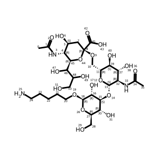 CC(=O)N[C@@H]1[C@@H](O)C[C@](OC[C@H]2O[C@@H](O[C@@H]3[C@@H](O)[C@H](OCCCCCN)O[C@H](CO)[C@H]3O)[C@H](NC(C)=O)[C@@H](O)[C@@H]2O)(C(=O)O)O[C@H]1C(O)C(O)CO